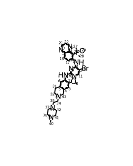 COc1cc2c(cc1Nc1ncc(Br)c(Nc3ccc4nccnc4c3P(C)(C)=O)n1)CCN(CCN1CCN(C)CC1)C2